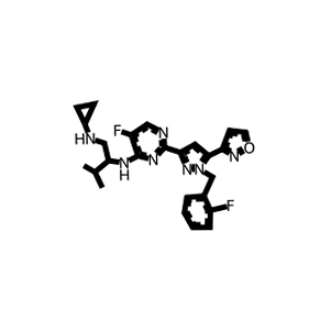 CC(C)C(CNC1CC1)Nc1nc(-c2cc(-c3ccon3)n(Cc3ccccc3F)n2)ncc1F